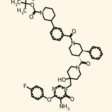 CC(C)(C)OC(=O)N1CCCC(c2cccc(C(=O)N3CC[C@@H](C(=O)N4CCC(O)(Cn5cnc(Oc6ccc(F)cc6)c(N)c5=O)CC4)[C@H](c4ccccc4)C3)c2)C1